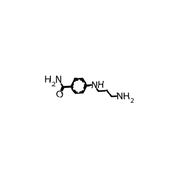 NCCCNc1ccc(C(N)=O)cc1